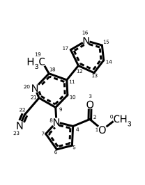 COC(=O)c1cccn1-c1cc(-c2cccnc2)c(C)nc1C#N